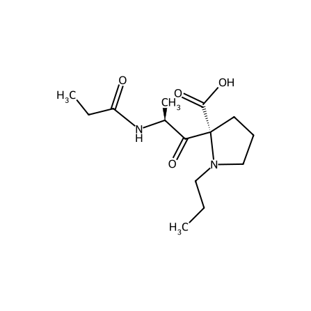 CCCN1CCC[C@]1(C(=O)O)C(=O)[C@H](C)NC(=O)CC